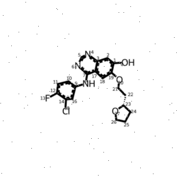 Oc1cc2ncnc(Nc3ccc(F)c(Cl)c3)c2cc1OCC[C@@H]1CCCO1